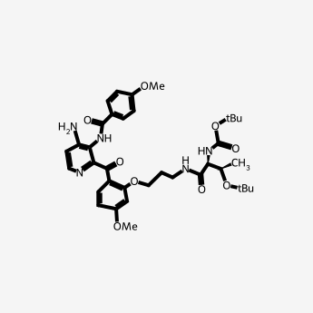 COc1ccc(C(=O)Nc2c(N)ccnc2C(=O)c2ccc(OC)cc2OCCCNC(=O)[C@@H](NC(=O)OC(C)(C)C)[C@@H](C)OC(C)(C)C)cc1